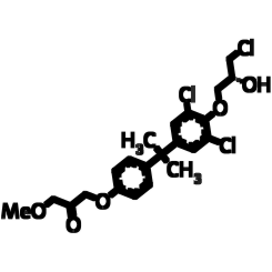 COCC(=O)COc1ccc(C(C)(C)c2cc(Cl)c(OC[C@@H](O)CCl)c(Cl)c2)cc1